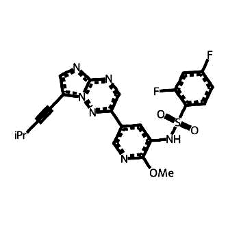 COc1ncc(-c2cnc3ncc(C#CC(C)C)n3n2)cc1NS(=O)(=O)c1ccc(F)cc1F